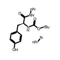 CCCNC(=O)[C@H](Cc1ccc(O)cc1)NC(=O)OC(C)(C)C.CCC[N]